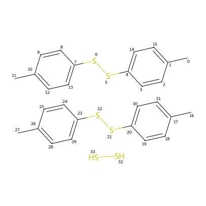 Cc1ccc(SSc2ccc(C)cc2)cc1.Cc1ccc(SSc2ccc(C)cc2)cc1.SS